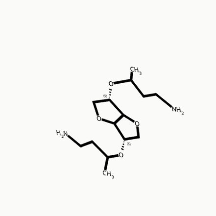 CC(CCN)O[C@H]1COC2C1OC[C@@H]2OC(C)CCN